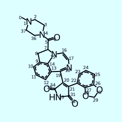 CN1CCN(C(=O)C2Cc3cccc4c3N2C=CN=C4C2=C(c3cccc4c3OCO4)C(=O)NC2=O)CC1